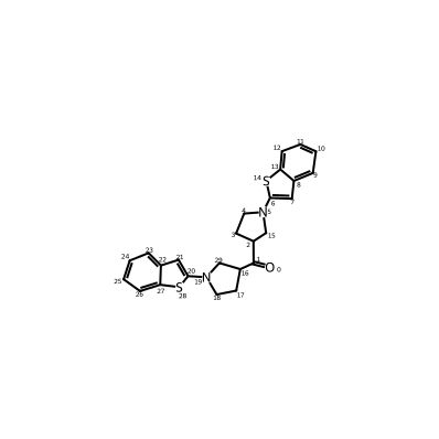 O=C(C1CCN(c2cc3ccccc3s2)C1)C1CCN(c2cc3ccccc3s2)C1